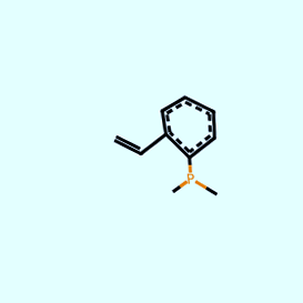 C=Cc1ccccc1P(C)C